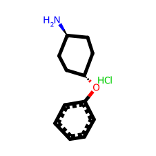 Cl.N[C@H]1CC[C@H](Oc2ccccc2)CC1